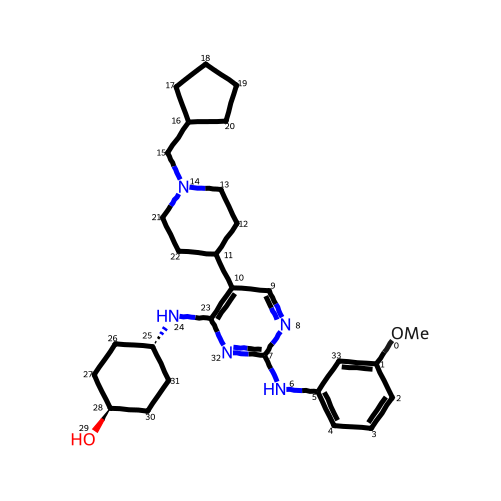 COc1cccc(Nc2ncc(C3CCN(CC4CCCC4)CC3)c(N[C@H]3CC[C@H](O)CC3)n2)c1